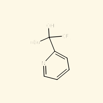 CCCCC(O)(c1ccccn1)C(F)(F)F